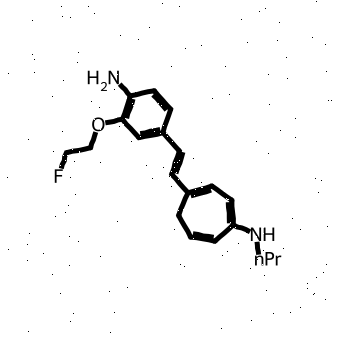 CCCNC1=CC=C(/C=C/c2ccc(N)c(OCCF)c2)CC=C1